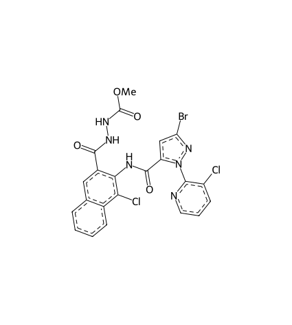 COC(=O)NNC(=O)c1cc2ccccc2c(Cl)c1NC(=O)c1cc(Br)nn1-c1ncccc1Cl